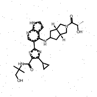 C[C@H](O)C(=O)N1C[C@H]2CC(Nc3c(-c4nc(C5CC5)c(C(=O)NC(C)(C)CO)s4)cnc4[nH]ccc34)C[C@H]2C1